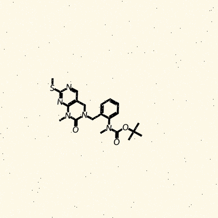 CSc1ncc2c(n1)N(C)C(=O)N(Cc1ccccc1N(C)C(=O)OC(C)(C)C)C2